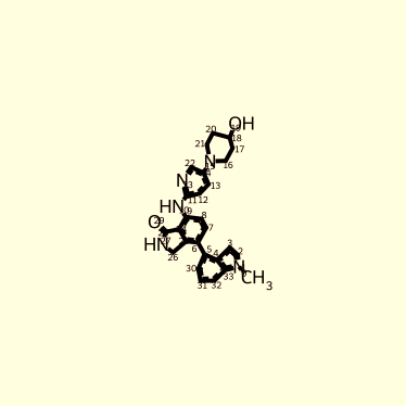 Cn1ccc2c(-c3ccc(Nc4ccc(N5CCC(O)CC5)cn4)c4c3CNC4=O)cccc21